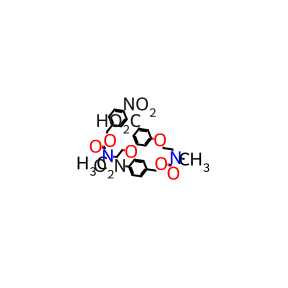 CN(CCOc1cc(OCCN(C)C(=O)OCc2ccc([N+](=O)[O-])cc2)cc(C(=O)O)c1)C(=O)OCc1ccc([N+](=O)[O-])cc1